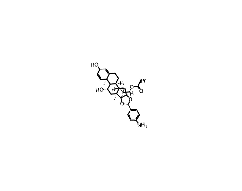 CC(C)C(=O)OCC(=O)[C@@]12O[C@H](c3ccc(N)cc3)O[C@@H]1C[C@H]1[C@@H]3CCC4=CC(O)C=C[C@]4(C)C3[C@@H](O)C[C@@]12C